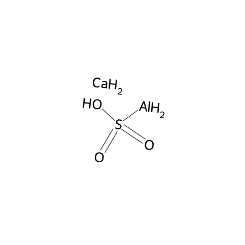 O=[S](=O)(O)[AlH2].[CaH2]